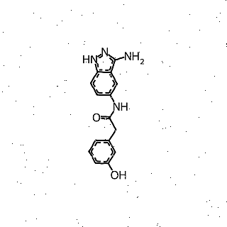 Nc1n[nH]c2ccc(NC(=O)Cc3cccc(O)c3)cc12